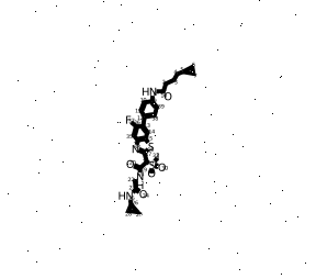 O=C(CCCC1CC1)Nc1ccc(-c2cc3sc(C(C(=O)NCC(=O)NC4CC4)S(=O)(=O)I)nc3cc2F)cc1